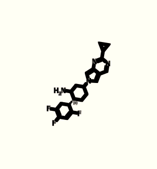 NC1CC(n2cc3cnc(C4CC4)nc3c2)CC[C@@H]1C1CC(F)=C(F)C=C1F